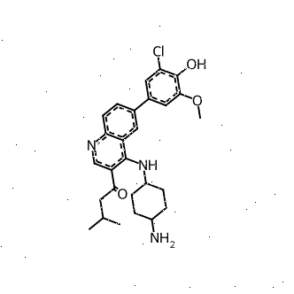 COc1cc(-c2ccc3ncc(C(=O)CC(C)C)c(NC4CCC(N)CC4)c3c2)cc(Cl)c1O